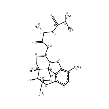 COc1ccc2c3c1OC1C(OC(=O)[C@H](C)OC(=O)[C@H](P)OC(C)=O)=CC[C@@]4(O)[C@@H](C2)N(C)CCC314